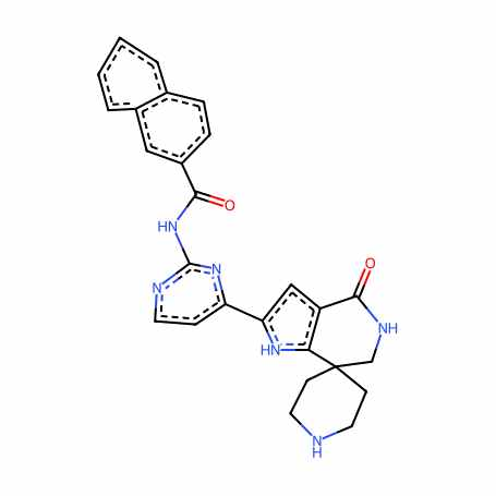 O=C(Nc1nccc(-c2cc3c([nH]2)C2(CCNCC2)CNC3=O)n1)c1ccc2ccccc2c1